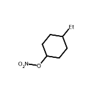 CCC1CCC(O[N+](=O)[O-])CC1